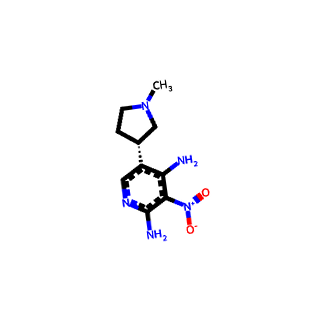 CN1CC[C@@H](c2cnc(N)c([N+](=O)[O-])c2N)C1